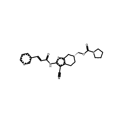 N#Cc1c(NC(=O)/C=C/c2cccnc2)sc2c1CC[C@@H](COC(=O)N1CCCC1)C2